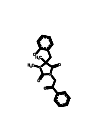 CN1C(=O)N(CC(=O)c2ccccc2)C(=O)C1(C)Cc1ccccc1Cl